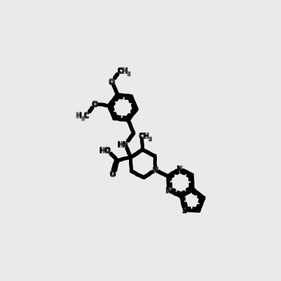 COc1ccc(CNC2(C(=O)O)CCN(c3ncc4ccsc4n3)CC2C)cc1OC